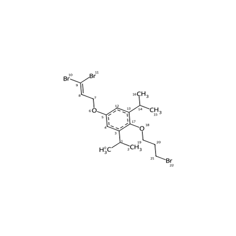 CC(C)c1cc(OCC=C(Br)Br)cc(C(C)C)c1OCCCBr